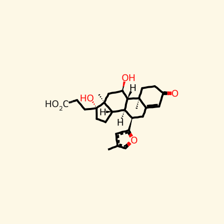 Cc1coc([C@@H]2CC3=CC(=O)CC[C@]3(C)[C@@H]3[C@@H]2[C@@H]2CC[C@@](O)(CCC(=O)O)[C@@]2(C)C[C@H]3O)c1